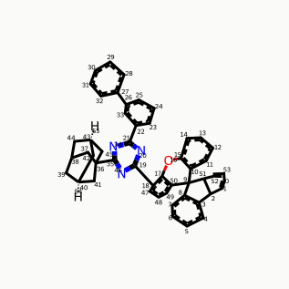 C1=CC2c3ccccc3C3(c4ccccc4Oc4c(-c5nc(-c6cccc(-c7ccccc7)c6)nc(C67CC8C[C@H](C6)C[C@@H](C8)C7)n5)cccc43)C2C=C1